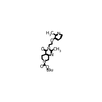 Cc1ncccc1OCCn1c(C)nc2c(c1=O)CCN(C(=O)OC(C)(C)C)C2